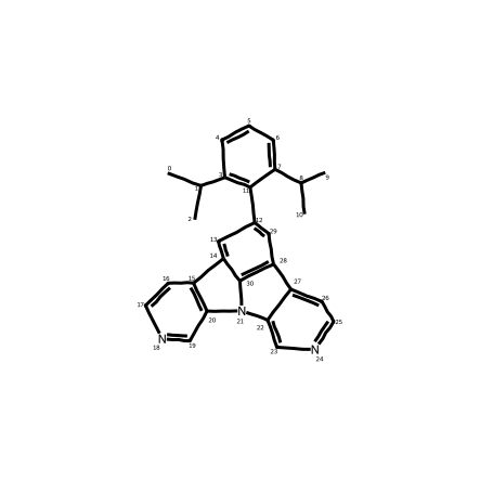 CC(C)c1cccc(C(C)C)c1-c1cc2c3ccncc3n3c4cnccc4c(c1)c23